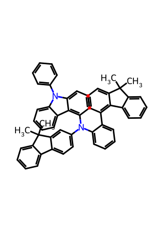 CC1(C)c2ccccc2-c2ccc(N(c3ccccc3-c3cccc4c3-c3ccccc3C4(C)C)c3cccc4c3c3ccccc3n4-c3ccccc3)cc21